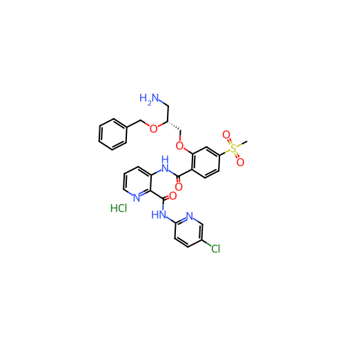 CS(=O)(=O)c1ccc(C(=O)Nc2cccnc2C(=O)Nc2ccc(Cl)cn2)c(OC[C@@H](CN)OCc2ccccc2)c1.Cl